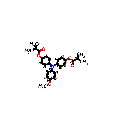 C=C(C)C(=O)Oc1ccc(N(c2ccc(OC)cc2)c2ccc(OC(=O)C(=C)C)cc2)cc1